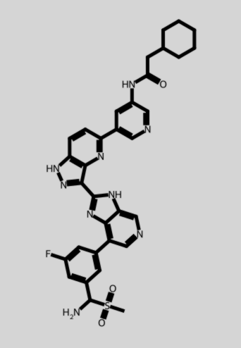 CS(=O)(=O)C(N)c1cc(F)cc(-c2cncc3[nH]c(-c4n[nH]c5ccc(-c6cncc(NC(=O)CC7CCCCC7)c6)nc45)nc23)c1